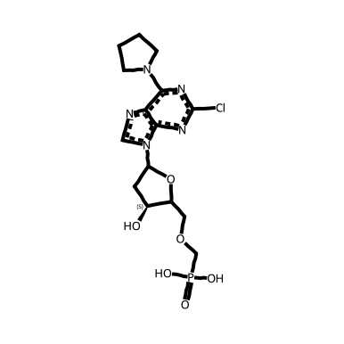 O=P(O)(O)COCC1OC(n2cnc3c(N4CCCC4)nc(Cl)nc32)C[C@@H]1O